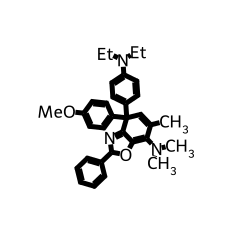 CCN(CC)c1ccc(C2(c3ccc(OC)cc3)C=C(C)C(N(C)C)=C3OC(c4ccccc4)N=C32)cc1